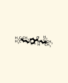 CC(C)(C)CCCN1CCC(C(=O)NCCC(C)(C)C)CC1